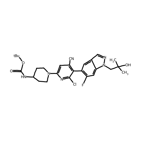 CC(C)(O)Cn1ncc2cc(-c3c(C#N)cc(N4CCC(NC(=O)OC(C)(C)C)CC4)nc3Cl)c(F)cc21